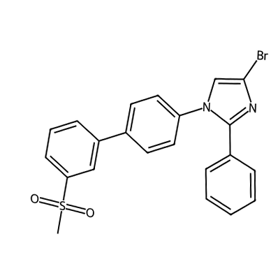 CS(=O)(=O)c1cccc(-c2ccc(-n3cc(Br)nc3-c3ccccc3)cc2)c1